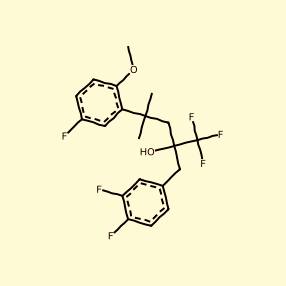 COc1ccc(F)cc1C(C)(C)CC(O)(Cc1ccc(F)c(F)c1)C(F)(F)F